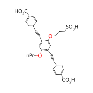 CCCOc1cc(C#Cc2ccc(C(=O)O)cc2)c(OCCCS(=O)(=O)O)cc1C#Cc1ccc(C(=O)O)cc1